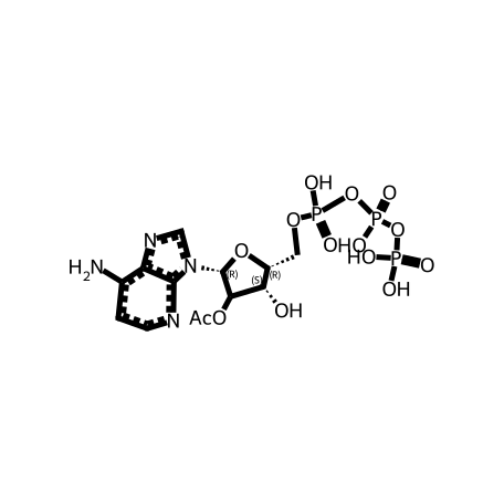 CC(=O)OC1[C@@H](O)[C@@H](COP(=O)(O)OP(=O)(O)OP(=O)(O)O)O[C@H]1n1cnc2c(N)ccnc21